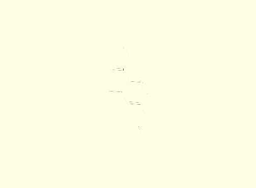 O=C(CBr)c1ncc(OCC(F)(F)F)cc1Cl